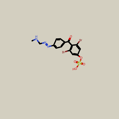 CNCN=Nc1ccc(C(=O)c2c(Br)cc(OS(=O)(=O)O)cc2Br)cc1